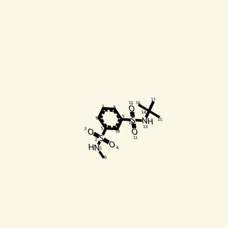 CNS(=O)(=O)c1cccc(S(=O)(=O)NC(C)(C)C)c1